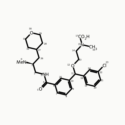 CN[C@H](CNC(=O)c1cccc(C(OCCN(C)C(=O)O)c2cccc(Cl)c2)c1)CC1CCOCC1